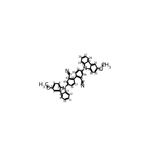 COc1ccc2c(c1)c1ccccc1n2-c1ccc(-c2ccc(-n3c4ccccc4c4cc(OC)ccc43)cc2C#N)c(C#N)c1